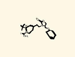 CC(C)(C)[C@H]1CC(CCN2C(=O)OCC2COc2ccccc2)CCN1C(=O)O